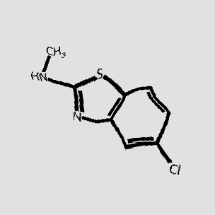 CNc1nc2cc(Cl)ccc2s1